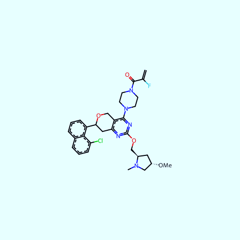 C=C(F)C(=O)N1CCN(c2nc(OC[C@H]3C[C@H](OC)CN3C)nc3c2COC(c2cccc4cccc(Cl)c24)C3)CC1